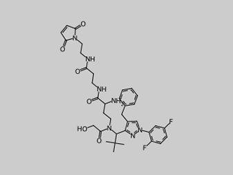 CC(C)(C)C(c1nn(-c2cc(F)ccc2F)cc1Cc1ccccc1)N(CCC(N)C(=O)NCCC(=O)NCCN1C(=O)C=CC1=O)C(=O)CO